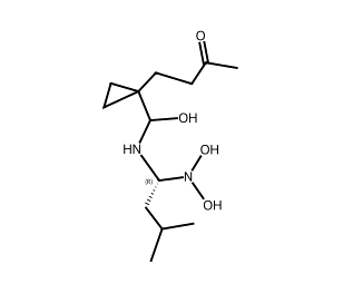 CC(=O)CCC1(C(O)N[C@@H](CC(C)C)N(O)O)CC1